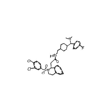 CN(C)C(c1ccc(F)cc1)C1CCC(CCNC(=O)CC2c3ccccc3CCN2S(=O)(=O)c2ccc(Cl)c(Cl)c2)CC1